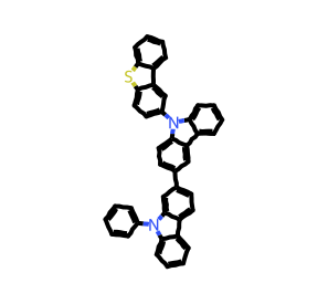 c1ccc(-n2c3ccccc3c3ccc(-c4ccc5c(c4)c4ccccc4n5-c4ccc5sc6ccccc6c5c4)cc32)cc1